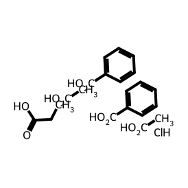 CC(=O)O.CC(=O)O.CCC(=O)O.Cl.O=C(O)c1ccccc1.O=C(O)c1ccccc1